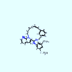 COc1cc(C(=O)O)cc2nc3n(c12)Cc1cccc(c1)/C=C\CCCCn1c-3cc2cccnc21